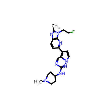 Cc1nc2ccc(-c3ccn4nc(NC5CCN(C)CC5)ncc34)nc2n1CCF